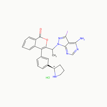 CC(c1oc(=O)c2ccccc2c1-c1cccc([C@H]2CCCN2)c1)n1nc(I)c2c(N)ncnc21.Cl